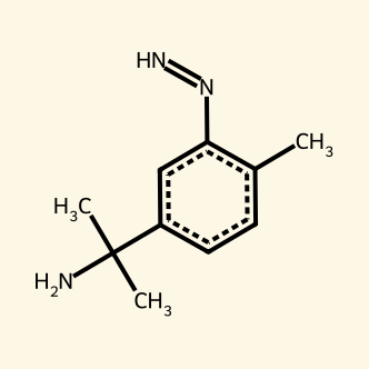 Cc1ccc(C(C)(C)N)cc1N=N